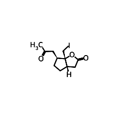 CC(=O)C[C@@H]1CC[C@H]2CC(=O)O[C@@]12CI